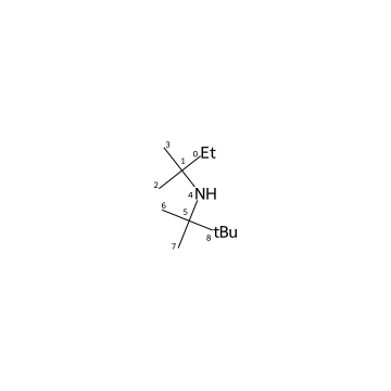 CCC(C)(C)NC(C)(C)C(C)(C)C